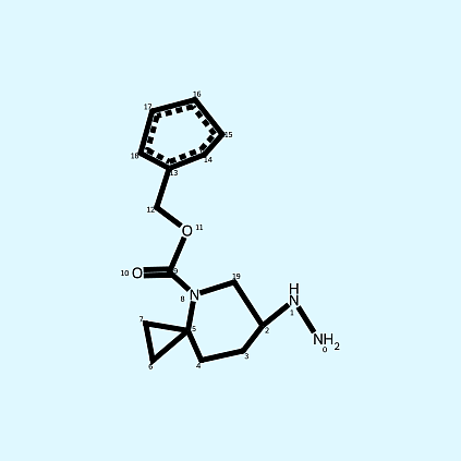 NNC1CCC2(CC2)N(C(=O)OCc2ccccc2)C1